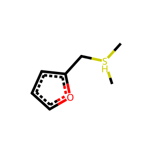 C[SH](C)Cc1ccco1